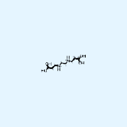 OC(O)CCNCCNCCC(O)O